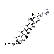 C/C=C\COCc1ccc(-c2ccc(-c3ccc(C4CCC(CCCCCCC)OC4)c(F)c3)cc2)c(F)c1F